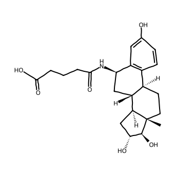 C[C@]12CC[C@@H]3c4ccc(O)cc4[C@H](NC(=O)CCCC(=O)O)C[C@H]3[C@@H]1C[C@@H](O)[C@@H]2O